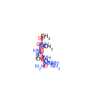 COC(=O)CC[C@H](NC(C)=O)C(=O)NCC(=O)NC(CCSC)C(=O)NCC(=O)NC(CCCNC(=N)N)C(=O)NCC(N)=O